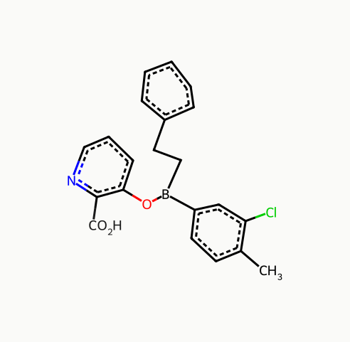 Cc1ccc(B(CCc2ccccc2)Oc2cccnc2C(=O)O)cc1Cl